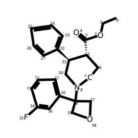 CCOC(=O)[C@@H]1CCN(C2(c3cccc(F)c3)COC2)C[C@H]1c1ccccc1